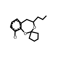 CCCC1Cc2cccc(Cl)c2OC2(CCCC2)O1